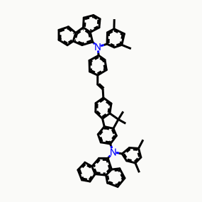 Cc1cc(C)cc(N(c2ccc(/C=C/c3ccc4c(c3)C(C)(C)c3cc(N(c5cc(C)cc(C)c5)c5cc6ccccc6c6ccccc56)ccc3-4)cc2)c2cc3ccccc3c3ccccc23)c1